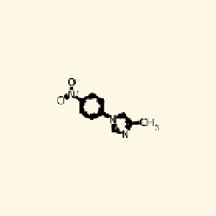 Cc1cn(-c2ccc([N+](=O)[O-])cc2)cn1